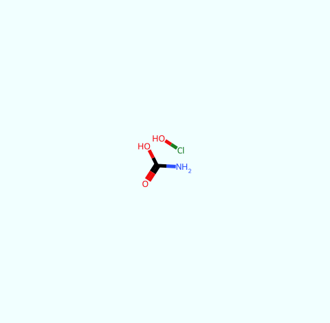 NC(=O)O.OCl